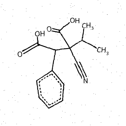 CC(C)C(C#N)(C(=O)O)C(C(=O)O)c1ccccc1